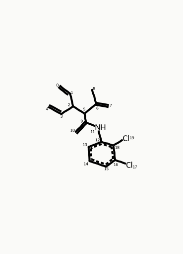 C=CC(C=C)C(C(=C)C)C(=C)Nc1cccc(Cl)c1Cl